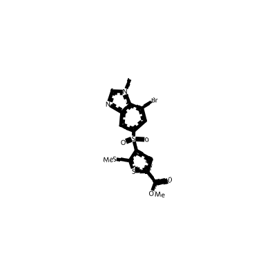 COC(=O)c1cc(S(=O)(=O)c2cc(Br)c3c(c2)ncn3C)c(SC)s1